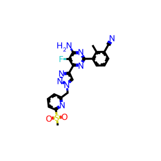 Cc1c(C#N)cccc1-c1nc(N)c(F)c(-c2cn(Cc3cccc(S(C)(=O)=O)n3)nn2)n1